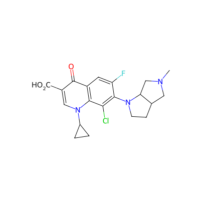 CN1CC2CCN(c3c(F)cc4c(=O)c(C(=O)O)cn(C5CC5)c4c3Cl)C2C1